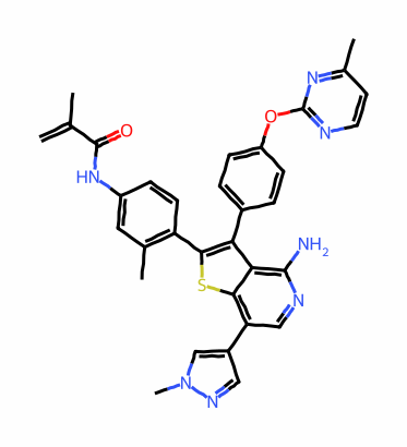 C=C(C)C(=O)Nc1ccc(-c2sc3c(-c4cnn(C)c4)cnc(N)c3c2-c2ccc(Oc3nccc(C)n3)cc2)c(C)c1